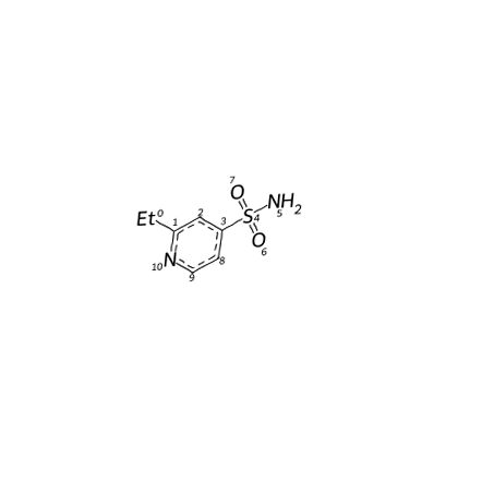 CCc1cc(S(N)(=O)=O)ccn1